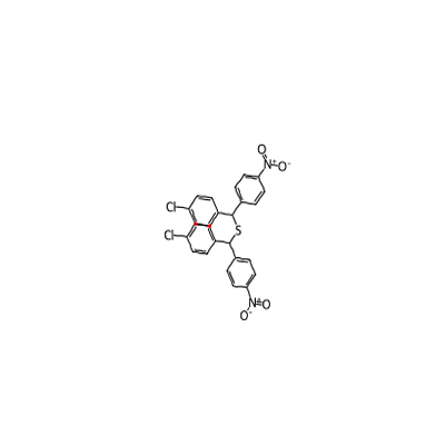 O=[N+]([O-])c1ccc(C(SC(c2ccc(Cl)cc2)c2ccc([N+](=O)[O-])cc2)c2ccc(Cl)cc2)cc1